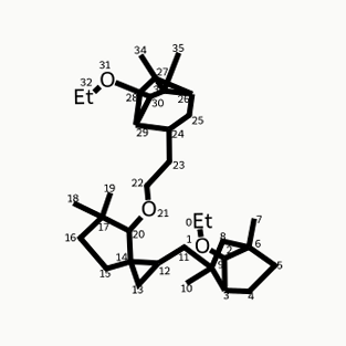 CCOC1C2CCC1(C)CC2(C)CC1CC12CCC(C)(C)C2OCCC1CC2CCC1C(OCC)C2(C)C